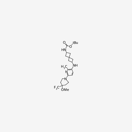 COC1(C(F)(F)F)CCN(c2ccc(NC3CC4(CC(NC(=O)OC(C)(C)C)C4)C3)c(C)n2)CC1